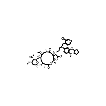 COc1ccc(N(CCS[C@@H]2C(=O)O[C@@]3(C)[C@H]2[C@@H](C)C(=O)[C@H](C)C[C@@](C)(OC)[C@H](O[C@@H]2O[C@H](C)C[C@@H](OC)[C@@H]2N(C)C)[C@@H](C)[C@H](O)[C@@H](C)C(=O)O[C@@H]3I)Cc2c(Cl)cncc2Cl)cc1OC1CCCC1